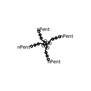 CCCCC[C@H]1CC[C@H](c2ccc(-c3ccc(CCCC(=O)OCC(COC(=O)CCCc4ccc(-c5ccc([C@H]6CC[C@H](CCCCC)CC6)cc5)cc4)(COC(=O)CCCc4ccc(-c5ccc([C@H]6CC[C@H](CCCCC)CC6)cc5)cc4)COC(=O)CCCc4ccc(-c5ccc([C@H]6CC[C@H](CCCCC)CC6)cc5)cc4)cc3)cc2)CC1